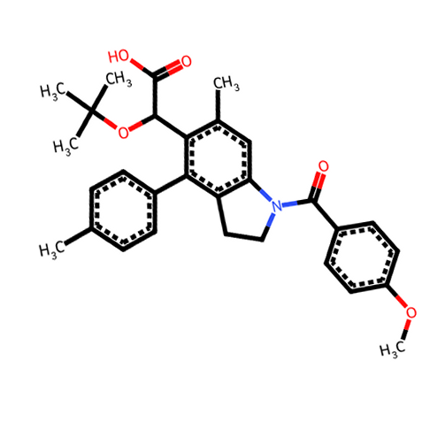 COc1ccc(C(=O)N2CCc3c2cc(C)c(C(OC(C)(C)C)C(=O)O)c3-c2ccc(C)cc2)cc1